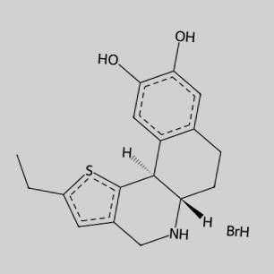 Br.CCc1cc2c(s1)[C@H]1c3cc(O)c(O)cc3CC[C@@H]1NC2